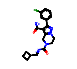 NC(=O)c1c(-c2cccc(Cl)c2)nn2c1CN(C(=O)/N=C/C1CCC1)CC2